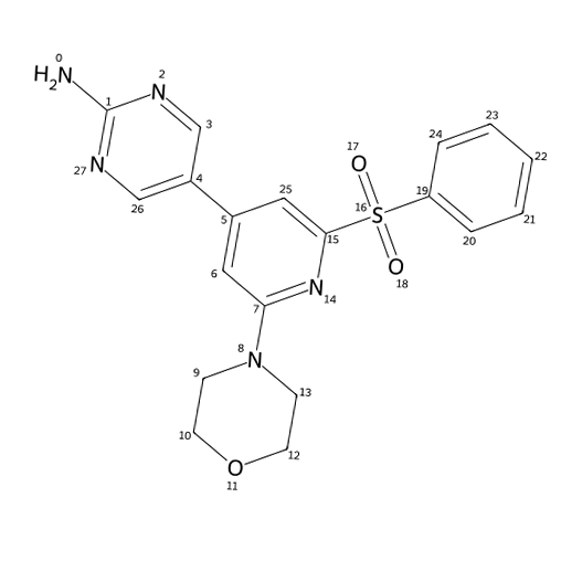 Nc1ncc(-c2cc(N3CCOCC3)nc(S(=O)(=O)c3ccccc3)c2)cn1